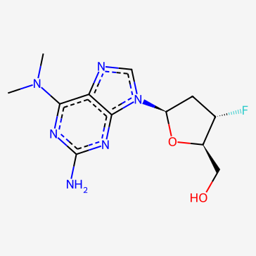 CN(C)c1nc(N)nc2c1ncn2[C@H]1C[C@H](F)[C@@H](CO)O1